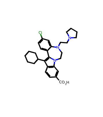 O=C(O)c1ccc2c(C3CCCCC3)c3n(c2c1)CCN(CCN1CCCC1)c1cc(Cl)ccc1-3